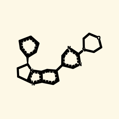 c1ccc([C@@H]2CCc3nc4ccc(-c5cnc(N6CCOCC6)nc5)cc4n32)cc1